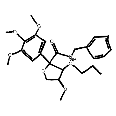 CCCOC1C(OC)COC1(C(=O)N(O)Cc1ccccc1)c1cc(OC)c(OC)c(OC)c1